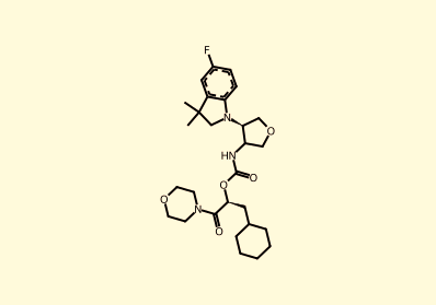 CC1(C)CN([C@H]2COCC2NC(=O)O[C@@H](CC2CCCCC2)C(=O)N2CCOCC2)c2ccc(F)cc21